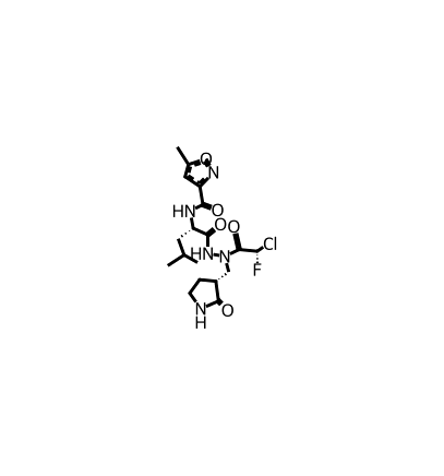 Cc1cc(C(=O)N[C@@H](CC(C)C)C(=O)NN(C[C@H]2CCNC2=O)C(=O)[C@@H](F)Cl)no1